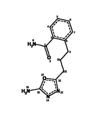 NC(=O)c1ccccc1CC[CH]c1nnc(N)o1